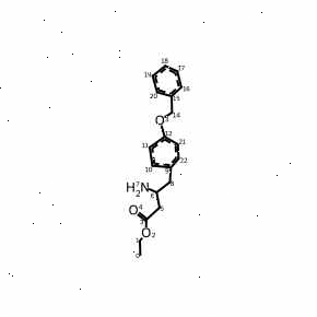 CCOC(=O)CC(N)Cc1ccc(OCc2ccccc2)cc1